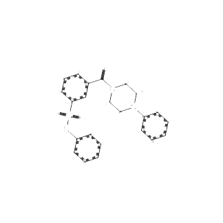 O=C(c1cccc(S(=O)(=O)Nc2ccccc2)c1)N1CCN(c2ccccc2)CC1